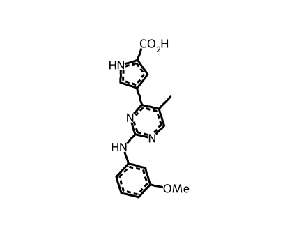 COc1cccc(Nc2ncc(C)c(-c3c[nH]c(C(=O)O)c3)n2)c1